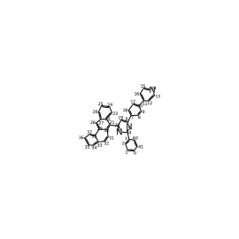 c1ccc(-c2nc(-c3ccc(-c4ccncc4)cc3)cc(-c3c4ccccc4cc4c3ccc3ccccc34)n2)cc1